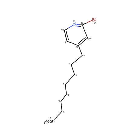 CCCCCCCCCCCCCCCCc1ccnc(Br)c1